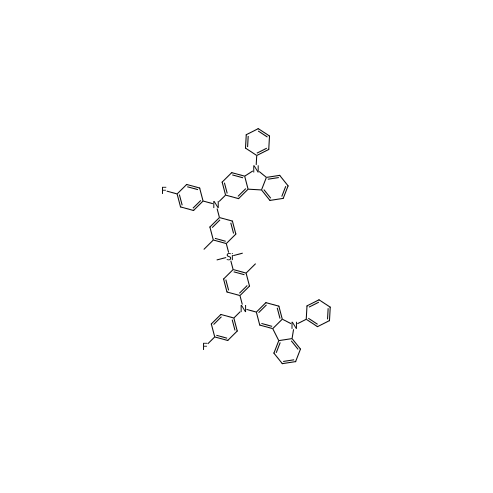 Cc1cc(N(c2ccc(F)cc2)c2ccc3c(c2)c2ccccc2n3-c2ccccc2)ccc1[Si](C)(C)c1ccc(N(c2ccc(F)cc2)c2ccc3c(c2)c2ccccc2n3-c2ccccc2)cc1C